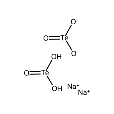 O=[Te](O)O.O=[Te]([O-])[O-].[Na+].[Na+]